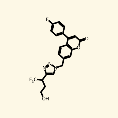 O=c1cc(-c2ccc(F)cc2)c2ccc(Cn3cc(C(CCO)C(F)(F)F)nn3)cc2o1